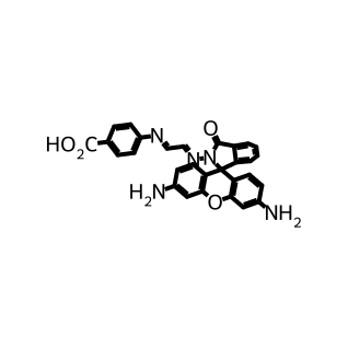 Nc1ccc2c(c1)Oc1cc(N)ccc1C21c2ccccc2C(=O)N1/N=C/C=N/c1ccc(C(=O)O)cc1